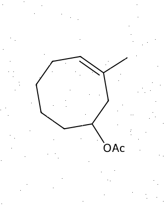 CC(=O)OC1CCCCC=C(C)C1